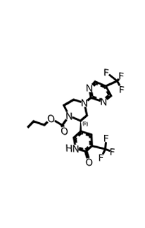 CCCOC(=O)N1CCN(c2ncc(C(F)(F)F)cn2)C[C@H]1c1c[nH]c(=O)c(C(F)(F)F)c1